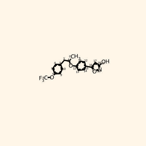 C[C@H](Cc1ccc(OC(F)(F)F)cc1)Oc1ccc(-c2cc(O)no2)cc1